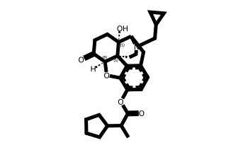 CC(C(=O)Oc1ccc2c3c1O[C@H]1C(=O)CC[C@@]4(O)C(C2)N(CC2CC2)CC[C@]314)C1CCCC1